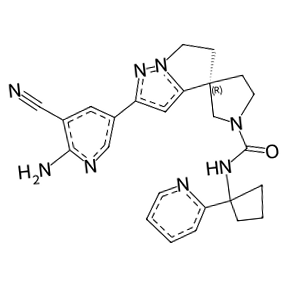 N#Cc1cc(-c2cc3n(n2)CC[C@@]32CCN(C(=O)NC3(c4ccccn4)CCC3)C2)cnc1N